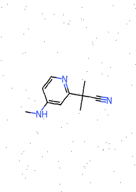 CNc1ccnc(C(C)(C)C#N)c1